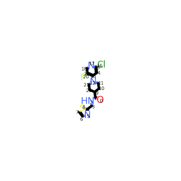 O=C(NCc1nccs1)C1CCN(c2cc(Cl)ncc2F)CC1